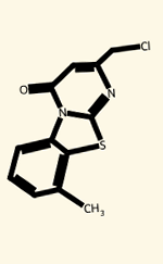 Cc1cccc2c1sc1nc(CCl)cc(=O)n12